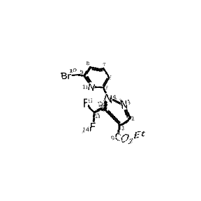 CCOC(=O)c1cnn(-c2cccc(Br)n2)c1C(F)F